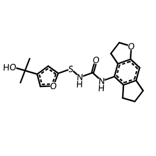 CC(C)(O)c1coc(SNC(=O)Nc2c3c(cc4c2CCO4)CCC3)c1